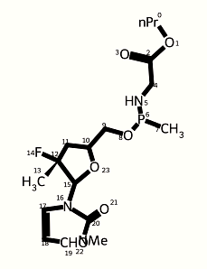 CCCOC(=O)CNP(C)OCC1C[C@@](C)(F)C(N(/C=C\C=O)C(=O)NC)O1